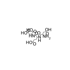 NC(CC(=O)O)C(=O)NC(CCC(=O)O)C(=O)NC(CC(=O)O)C(=O)O